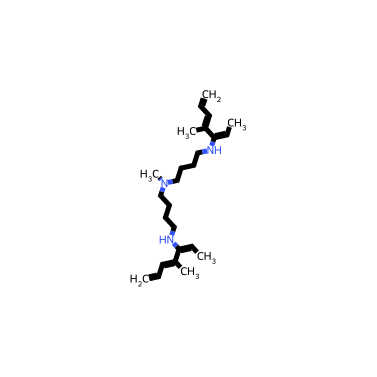 C=C/C=C(C)/C(=C\C)NCCCCN(C)CCCCNC(=C/C)/C(C)=C/C=C